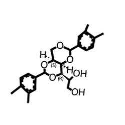 Cc1ccc(C2OC[C@@H]3OC(c4ccc(C)c(C)c4)O[C@H](C(O)CO)[C@@H]3O2)cc1C